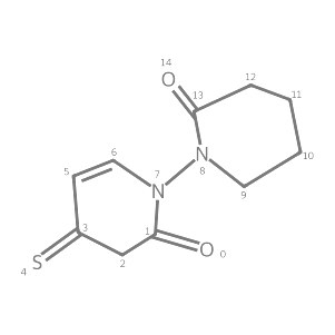 O=C1CC(=S)C=CN1N1CCCCC1=O